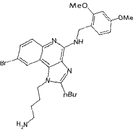 CCCCc1nc2c(NCc3ccc(OC)cc3OC)nc3ccc(Br)cc3c2n1CCCCN